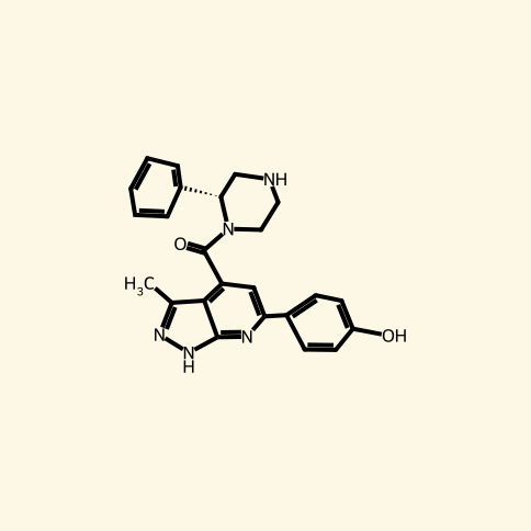 Cc1n[nH]c2nc(-c3ccc(O)cc3)cc(C(=O)N3CCNC[C@H]3c3ccccc3)c12